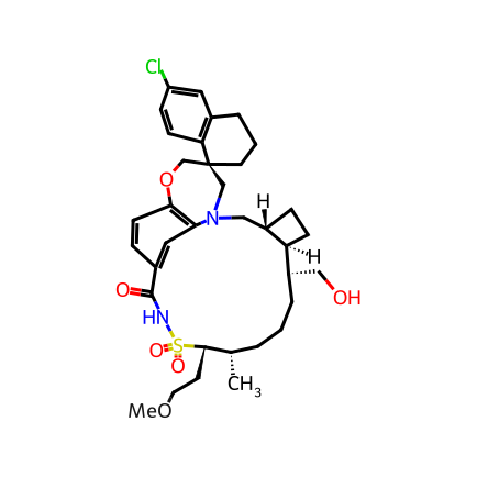 COCC[C@@H]1[C@@H](C)CCC[C@@H](CO)[C@@H]2CC[C@H]2CN2C[C@@]3(CCCc4cc(Cl)ccc43)COc3ccc(cc32)C(=O)NS1(=O)=O